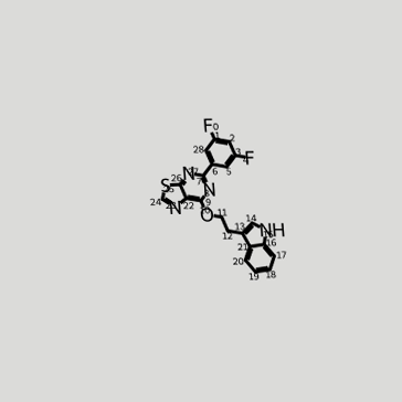 Fc1cc(F)cc(-c2nc(OCCc3c[nH]c4ccccc34)c3ncsc3n2)c1